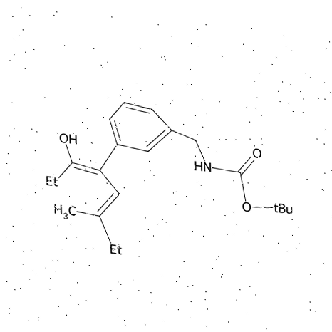 CCC(C)=C/C(=C(/O)CC)c1cccc(CNC(=O)OC(C)(C)C)c1